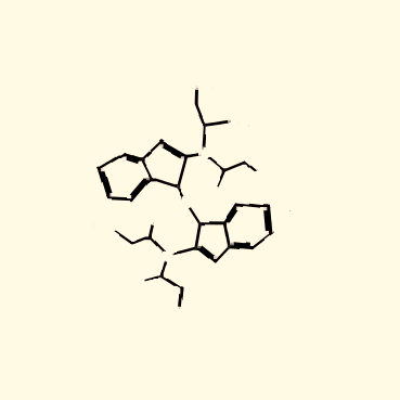 CCC(C)P(C1=Cc2ccccc2[CH]1[Zr+2][CH]1C(P(C(C)CC)C(C)CC)=Cc2ccccc21)C(C)CC.[F-].[F-]